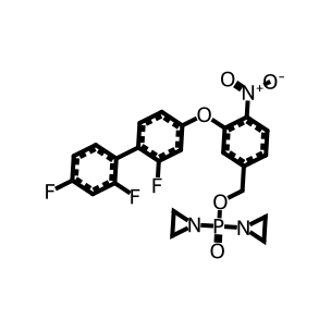 O=[N+]([O-])c1ccc(COP(=O)(N2CC2)N2CC2)cc1Oc1ccc(-c2ccc(F)cc2F)c(F)c1